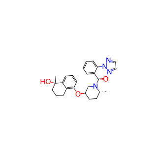 C[C@@H]1CC[C@@H](Oc2cccc3c2CCCC3(C)O)CN1C(=O)c1ccccc1-n1nccn1